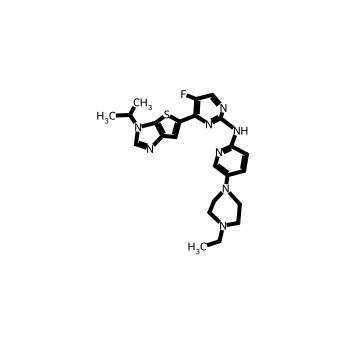 CCN1CCN(c2ccc(Nc3ncc(F)c(-c4cc5ncn(C(C)C)c5s4)n3)nc2)CC1